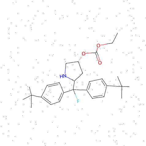 CCOC(=O)O[C@H]1CNC(C(F)(c2ccc(C(C)(C)C)cc2)c2ccc(C(C)(C)C)cc2)C1